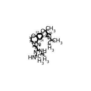 CC(C)N/C(=N\C=N)c1cn2c(n1)-c1ccc(OC(C)C3CN(C(C)C)C3)cc1OCC2